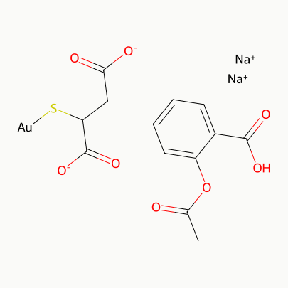 CC(=O)Oc1ccccc1C(=O)O.O=C([O-])CC([S][Au])C(=O)[O-].[Na+].[Na+]